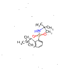 CC(C)(C)NS(=O)(=O)c1ccccc1[CH2][Sn]([CH3])([CH3])[CH3]